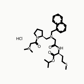 CSCC[C@H](NC(=O)CN(Cc1cccc2ccccc12)C[C@@H]1CCCN1C(=O)CN(C)C)C(=O)OC(C)C.Cl